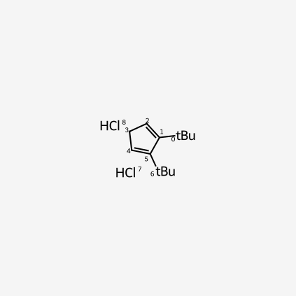 CC(C)(C)C1=CCC=C1C(C)(C)C.Cl.Cl